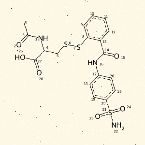 CC(=O)NC(CSSc1ccccc1C(=O)Nc1ccc(S(N)(=O)=O)cc1)C(=O)O